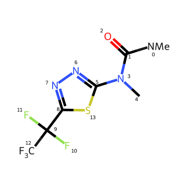 CNC(=O)N(C)c1nnc(C(F)(F)C(F)(F)F)s1